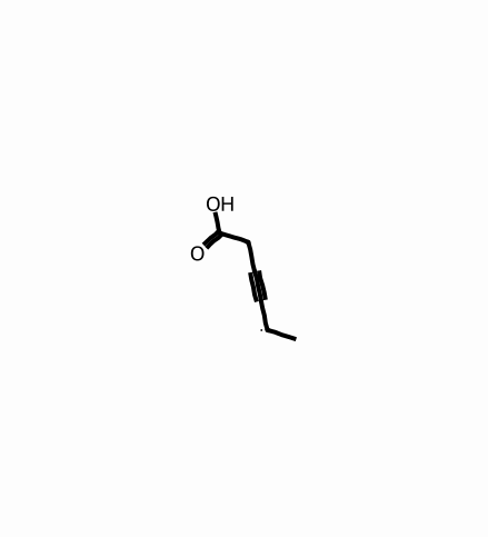 C[CH]C#CCC(=O)O